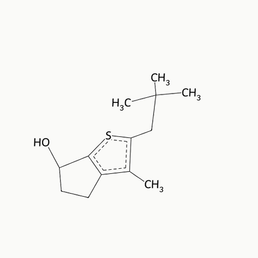 Cc1c(CC(C)(C)C)sc2c1CCC2O